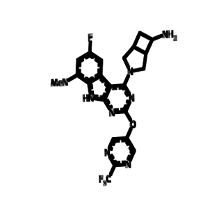 CNc1cc(F)cc2c1[nH]c1nc(Oc3cnc(C(F)(F)F)nc3)nc(N3CC4CC(N)C4C3)c12